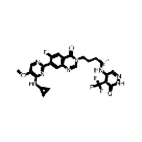 COc1cnc(-c2cc3ncn(CCC[C@H](C)Nc4cn[nH]c(=O)c4C(F)(F)F)c(=O)c3cc2F)nc1NC1CC1